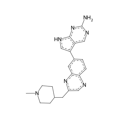 CN1CCC(Cc2cnc3ccc(-c4c[nH]c5nc(N)ncc45)cc3n2)CC1